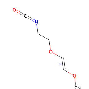 N#CO/C=C/OCCN=C=O